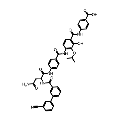 CC(C)Oc1c(NC(=O)c2ccc(NC(=O)[C@H](CC(N)=O)NC(=O)c3cccc(-c4cccc(C#N)c4)c3)cc2)ccc(C(=O)Nc2ccc(C(=O)O)cc2)c1O